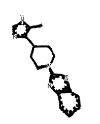 Cc1[nH]cnc1C1CCN(c2nc3ccccc3s2)CC1